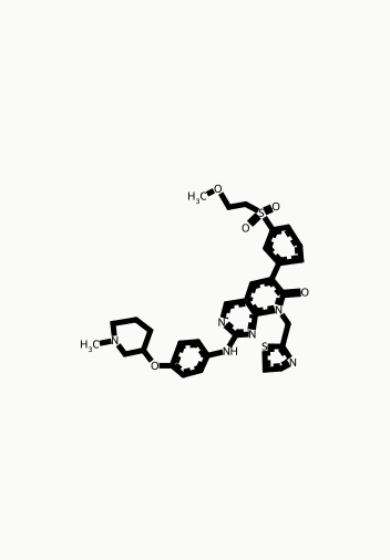 COCCS(=O)(=O)c1cccc(-c2cc3cnc(Nc4ccc(OC5CCCN(C)C5)cc4)nc3n(Cc3nccs3)c2=O)c1